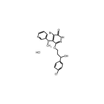 CN(c1cccnc1)c1c(OCCC(O)c2ccc(Cl)cc2)n[nH]c(=O)c1Br.Cl